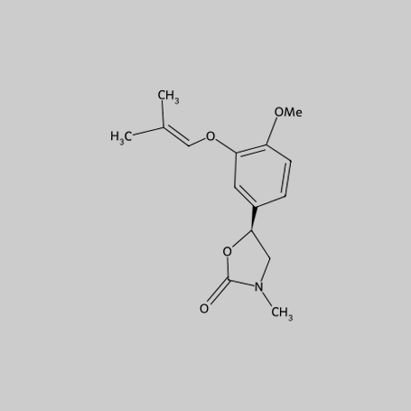 COc1ccc([C@H]2CN(C)C(=O)O2)cc1OC=C(C)C